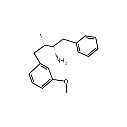 COc1cccc(C[C@H](C)[C@@H](N)Cc2ccccc2)c1